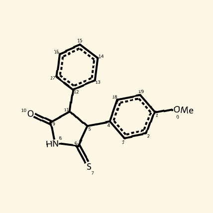 COc1ccc(C2C(=S)NC(=O)C2c2ccccc2)cc1